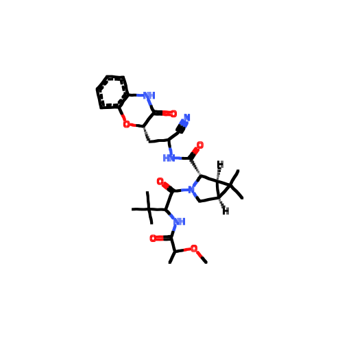 COC(C)C(=O)NC(C(=O)N1C[C@H]2[C@@H]([C@H]1C(=O)NC(C#N)C[C@@H]1Oc3ccccc3NC1=O)C2(C)C)C(C)(C)C